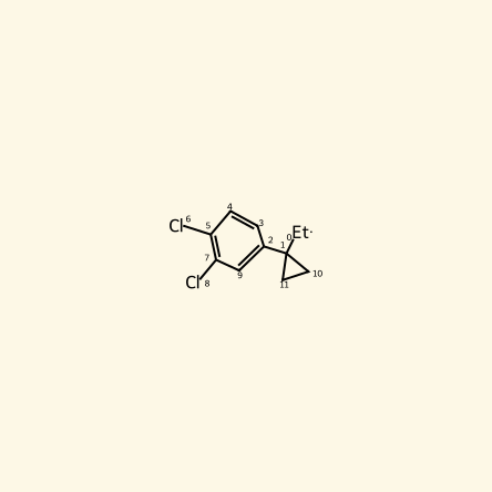 C[CH]C1(c2ccc(Cl)c(Cl)c2)CC1